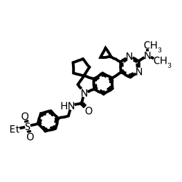 CCS(=O)(=O)c1ccc(CNC(=O)N2CC3(CCCC3)c3cc(-c4cnc(N(C)C)nc4C4CC4)ccc32)cc1